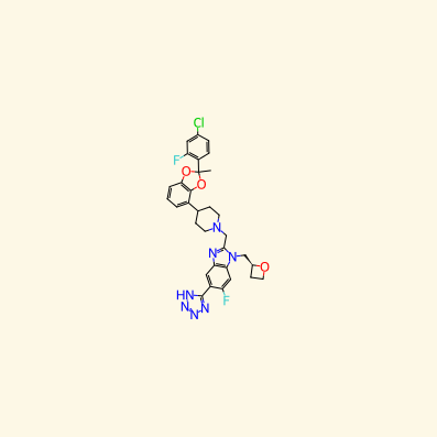 CC1(c2ccc(Cl)cc2F)Oc2cccc(C3CCN(Cc4nc5cc(-c6nnn[nH]6)c(F)cc5n4C[C@@H]4CCO4)CC3)c2O1